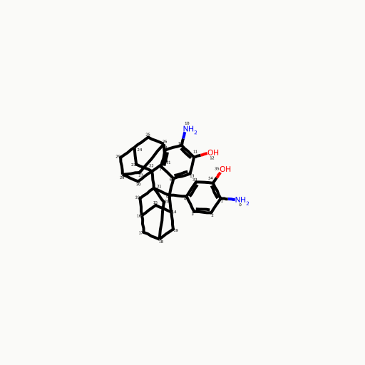 Nc1ccc(C2(c3ccc(N)c(O)c3)C3CC4CC(C3)CC2(C23CC5CC(CC(C5)C2)C3)C4)cc1O